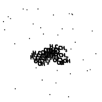 CC(C)(C)CC(C)(C)C(/C=C/C(C)(C)C(C)(C)C(C)(C)OC(C)(C)C(C)(C)C(C)(C)C(=O)O)C(CC(=O)O)C(=O)O